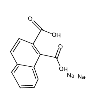 O=C(O)c1ccc2ccccc2c1C(=O)O.[Na].[Na]